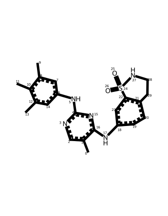 Cc1cnc(Nc2cc(C)c(C)c(C)c2)nc1Nc1ccc2c(c1)S(=O)(=O)NCC2